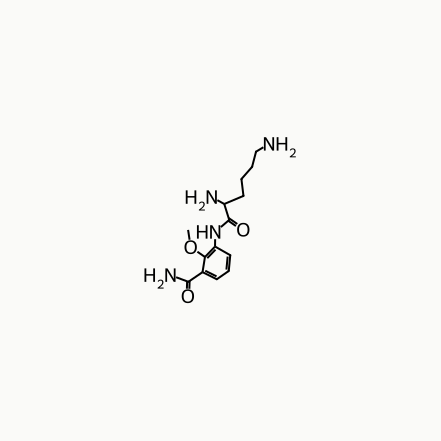 COc1c(NC(=O)C(N)CCCCN)cccc1C(N)=O